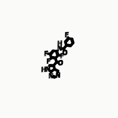 O=C(Nc1cc(F)c(F)c(C(=O)C2=CNC3N=CN=CC23)c1F)c1cccc(F)c1